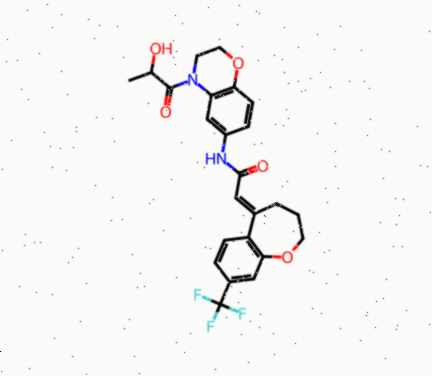 CC(O)C(=O)N1CCOc2ccc(NC(=O)/C=C3\CCCOc4cc(C(F)(F)F)ccc43)cc21